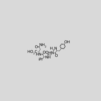 CC(C)[C@H](NC(=O)CNC(=O)[C@@H](N)Cc1ccc(O)cc1)C(=O)N[C@@H](CC(N)=O)C(=O)O